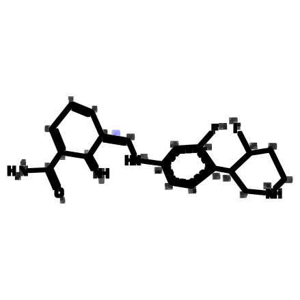 N=C1C(C(N)=O)=CC=C/C1=C/Nc1ccc(C2CNCCC2F)c(F)c1